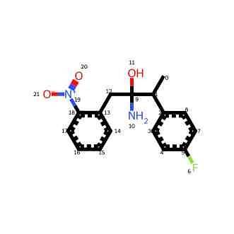 CC(c1ccc(F)cc1)C(N)(O)Cc1ccccc1[N+](=O)[O-]